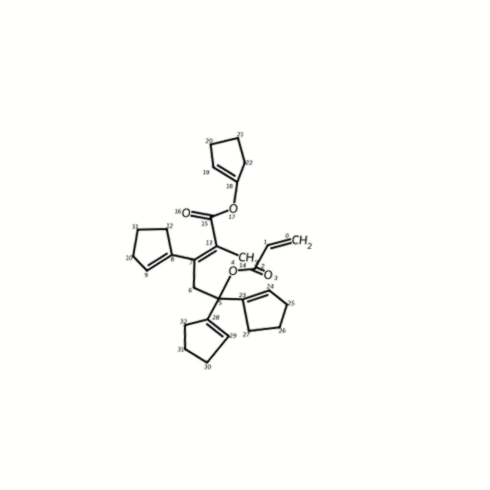 C=CC(=O)OC(CC(C1=CCCC1)=C(C)C(=O)OC1=CCCC1)(C1=CCCC1)C1=CCCC1